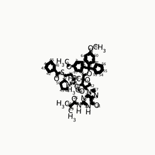 COc1ccc(C(OC[C@@]2(C)OC[C@@](OC)(n3cnc4c(=O)[nH]c(NC(=O)C(C)C)nc43)C2OP(SCCSC(=O)c2ccccc2)N2CCCC2)(c2ccccc2)c2ccc(OC)cc2)cc1